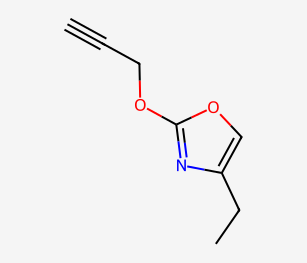 C#CCOc1nc(CC)co1